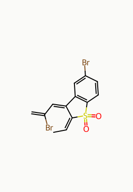 C=C(Br)/C=C1\C(=C/C)S(=O)(=O)c2ccc(Br)cc21